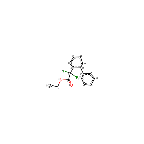 CCOC(=O)C(F)(F)c1ccccc1-c1ccccc1